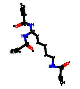 C#CC(=O)NCCCCCC(NC(=O)C#C)NC(=O)C#C